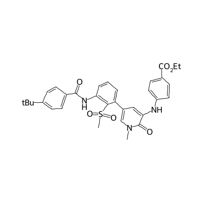 CCOC(=O)c1ccc(Nc2cc(-c3cccc(NC(=O)c4ccc(C(C)(C)C)cc4)c3S(C)(=O)=O)cn(C)c2=O)cc1